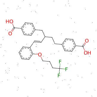 O=C(O)c1ccc(CCC(C=Cc2ccccc2OCCCC(F)(F)F)Cc2ccc(C(=O)O)cc2)cc1